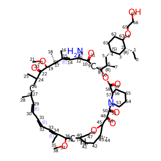 CC[C@@H]1C[C@H](C[C@@H](C)[C@@H]2CC(=O)[C@H](N)/C=C(\C)[C@@H](C)C(OC)C(=O)C(C)C[C@H](C)/C=C/C=C/C=C(\C)C(OC)C[C@@H]3CC[C@@H](C)C(OC3)C(=O)C(=O)N3CCCCC3C(=O)O2)CCC1OCCO